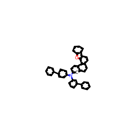 c1ccc(-c2ccc(N(c3cccc(-c4ccccc4)c3)c3ccc4c(ccc5ccc6c7ccccc7oc6c54)c3)cc2)cc1